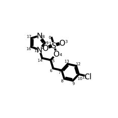 CS(=O)(=O)OC(Cc1ccc(Cl)cc1)Cn1ccnc1